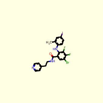 Cc1cc(I)ccc1Nc1c(C(=O)NCCc2ccncc2)cc(Br)c(F)c1F